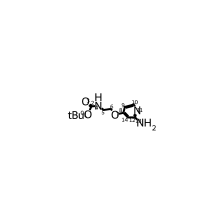 CC(C)(C)OC(=O)NCCOc1ccnc(N)c1